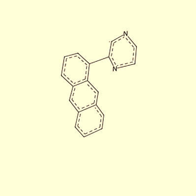 [c]1nccnc1-c1cccc2cc3ccccc3cc12